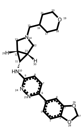 c1cc2c(cc1-c1ccc(N[C@@H]3[C@@H]4CN(CC5CCOCC5)C[C@@H]43)nn1)OCO2